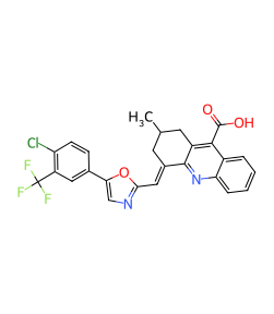 CC1C/C(=C\c2ncc(-c3ccc(Cl)c(C(F)(F)F)c3)o2)c2nc3ccccc3c(C(=O)O)c2C1